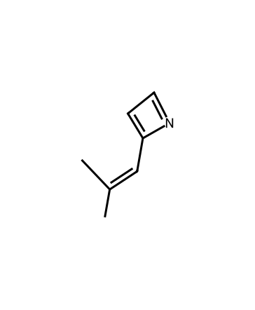 CC(C)=CC1=CC=N1